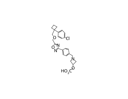 O=C(O)OC1CN(Cc2ccc(-c3noc(COCC4(c5ccc(Cl)cc5)CCC4)n3)cc2)C1